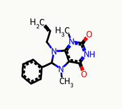 C=CCN1c2c(c(=O)[nH]c(=O)n2C)N(C)C1c1ccccc1